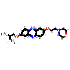 CC(C)COc1ccc2nc3cc(OCCN4CCOCC4)ccc3nc2c1